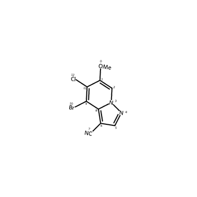 COc1cn2ncc(C#N)c2c(Br)c1Cl